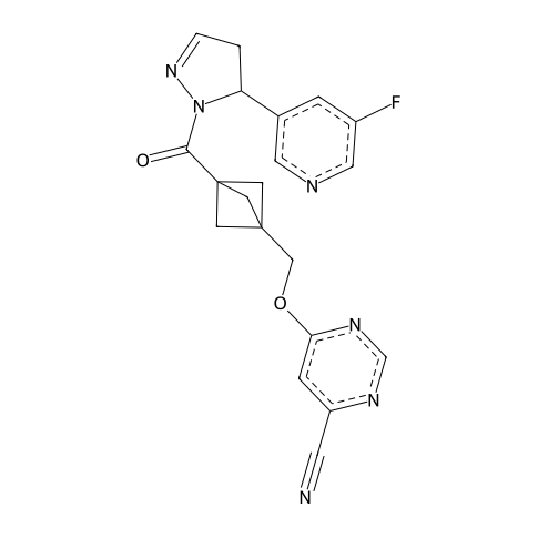 N#Cc1cc(OCC23CC(C(=O)N4N=CCC4c4cncc(F)c4)(C2)C3)ncn1